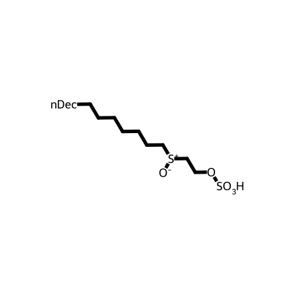 CCCCCCCCCCCCCCCCC[S+]([O-])CCOS(=O)(=O)O